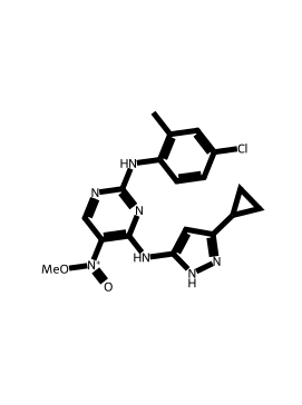 CO[N+](=O)c1cnc(Nc2ccc(Cl)cc2C)nc1Nc1cc(C2CC2)n[nH]1